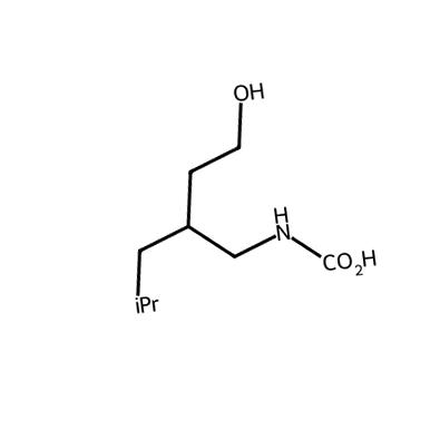 CC(C)CC(CCO)CNC(=O)O